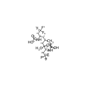 CC(CC(CC(F)(F)F)NC(=O)O)CC(C)(C)C(CC(F)(F)F)NC(=O)O